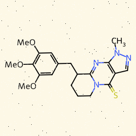 COc1cc(CC2CCCn3c2nc2c(cnn2C)c3=S)cc(OC)c1OC